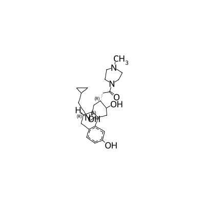 CN1CCN(C(=O)C[C@H]2C[C@@]3(O)[C@H]4Cc5ccc(O)cc5C3(CCN4CC3CC3)CC2O)CC1